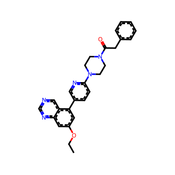 CCOc1cc(-c2ccc(N3CCN(C(=O)Cc4ccccc4)CC3)nc2)c2cncnc2c1